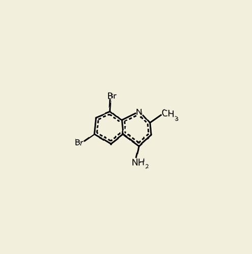 Cc1cc(N)c2cc(Br)cc(Br)c2n1